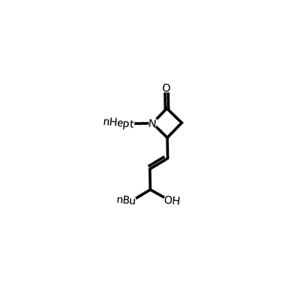 CCCCCCCN1C(=O)CC1/C=C/C(O)CCCC